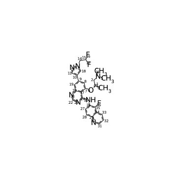 C[C@H](CN(C)C)Oc1cc(-c2cnn(CC(F)F)c2)cc2ncnc(Nc3ccc4ncccc4c3F)c12